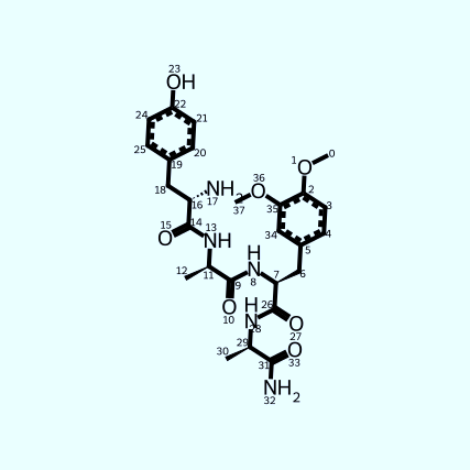 COc1ccc(C[C@H](NC(=O)[C@@H](C)NC(=O)[C@@H](N)Cc2ccc(O)cc2)C(=O)N[C@H](C)C(N)=O)cc1OC